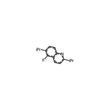 CC(C)c1ccc2c(F)c(C(C)C)ccc2n1